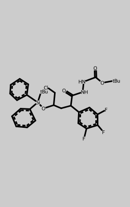 CC(C)(C)OC(=O)NNC(=O)C(CC(CCl)O[Si](c1ccccc1)(c1ccccc1)C(C)(C)C)c1cc(F)c(F)c(F)c1